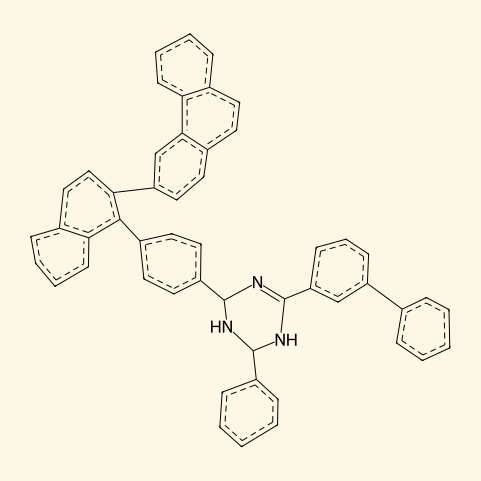 c1ccc(-c2cccc(C3=NC(c4ccc(-c5c(-c6ccc7ccc8ccccc8c7c6)ccc6ccccc56)cc4)NC(c4ccccc4)N3)c2)cc1